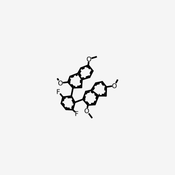 COc1ccc2cc(-c3c(F)ccc(F)c3-c3cc4ccc(OC)cc4cc3OC)c(OC)cc2c1